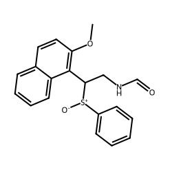 COc1ccc2ccccc2c1C(CNC=O)[S+]([O-])c1ccccc1